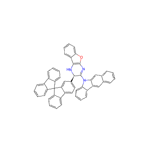 c1ccc2c(c1)-c1ccccc1C21c2ccccc2-c2ccc([C@H]3Nc4c(oc5ccccc45)N=C3n3c4ccccc4c4cc5ccccc5cc43)cc21